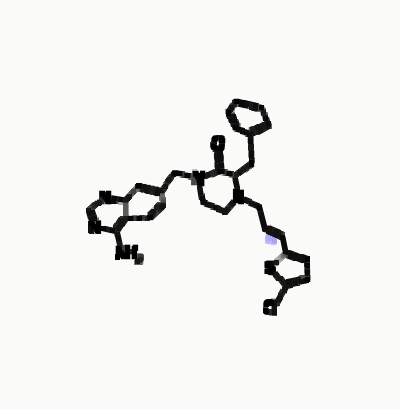 Nc1ncnc2cc(CN3CCN(C/C=C/c4ccc(Cl)s4)C(Cc4ccccc4)C3=O)ccc12